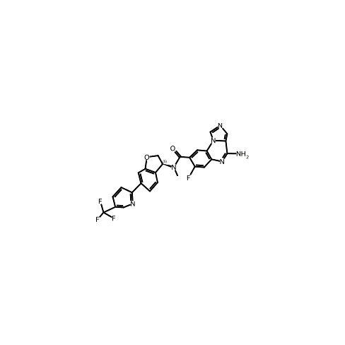 CN(C(=O)c1cc2c(cc1F)nc(N)c1cncn12)[C@@H]1COc2cc(-c3ccc(C(F)(F)F)cn3)ccc21